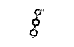 c1cc(N2CCNC2)ccc1N1CCOCC1